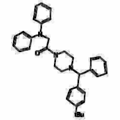 CC(C)(C)c1ccc(C(c2ccccc2)N2CCN(C(=O)CN(c3ccccc3)c3ccccc3)CC2)cc1